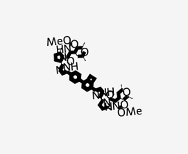 COC(=O)N[C@H](C(=O)N1[C@@H](C)CC[C@H]1c1nc(-c2ccc(-c3ccc(-c4cnc([C@@H]5CC[C@H](C)N5C(=O)[C@@H](NC(=O)OC)[C@H]5C[C@@H](C)O[C@@H](C)C5)[nH]4)cc3)c3c2CC3)c[nH]1)[C@H]1C[C@@H](C)O[C@@H](C)C1